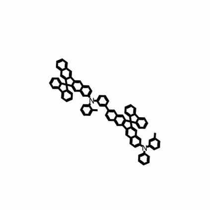 Cc1cccc(N(c2ccccc2)c2ccc3cc4c(cc3c2)C2(c3ccccc3-c3ccccc32)c2cc3cc(-c5cccc(N(c6ccc7cc8c(cc7c6)C6(c7ccccc7-c7ccccc76)c6cc7ccccc7cc6-8)c6ccccc6C)c5)ccc3cc2-4)c1